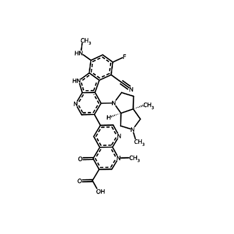 CNc1cc(F)c(C#N)c2c1[nH]c1ncc(-c3cnc4c(c3)c(=O)c(C(=O)O)cn4C)c(N3CC[C@@]4(C)CN(C)C[C@@H]34)c12